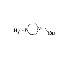 CN1CCN(CC(C)(C)C)CC1